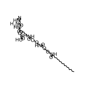 CCCCCCCCCCCCCCCCCC(=O)NCCOCCOCC(=O)NCCOCCOCC(=O)NCCCC[C@H](CC(=O)C(C)(C)NC(=O)[C@@H](N)Cc1cnc[nH]1)C(=O)NCC(=O)O